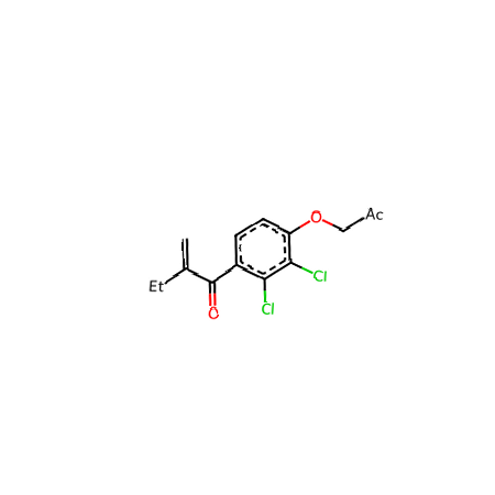 C=C(CC)C(=O)c1ccc(OCC(C)=O)c(Cl)c1Cl